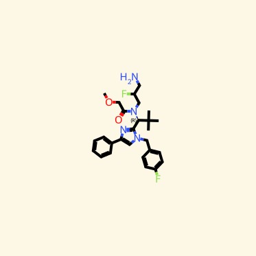 COCC(=O)N(CC(F)CN)[C@@H](c1nc(-c2ccccc2)cn1Cc1ccc(F)cc1)C(C)(C)C